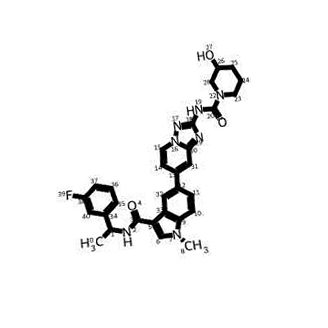 CC(NC(=O)c1cn(C)c2ccc(-c3ccn4nc(NC(=O)N5CCCC(O)C5)nc4c3)cc12)c1cccc(F)c1